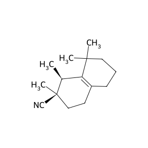 C[C@H]1C2=C(CCCC2(C)C)CC[C@@]1(C)C#N